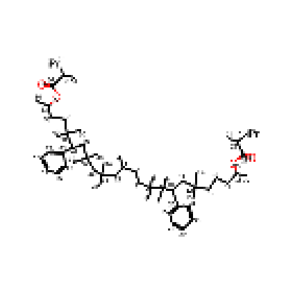 CC(CCC(C)(C)C(C)(C)C(CC(C)(C)CCCC(C)OC(=O)C(C)C(C)C)c1ccccc1)CC(C)(C)CC(C)(C)CC(c1ccccc1)C(C)(C)CCC(C)OC(=O)C(C)C(C)C